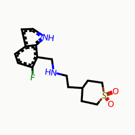 O=S1(=O)CCC(CCNCc2c(F)ccc3cc[nH]c23)CC1